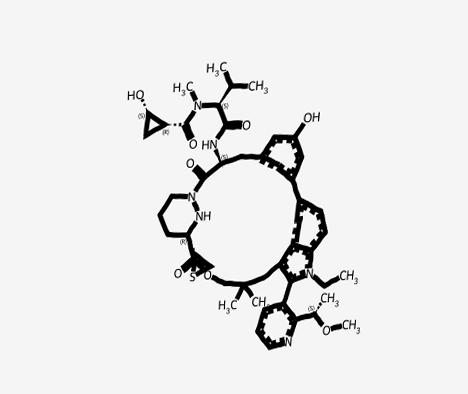 CCn1c(-c2cccnc2[C@H](C)OC)c2c3cc(ccc31)-c1cc(O)cc(c1)C[C@H](NC(=O)[C@H](C(C)C)N(C)C(=O)[C@@H]1C[C@@H]1O)C(=O)N1CCC[C@@](C3=CS3)(N1)C(=O)OCC(C)(C)C2